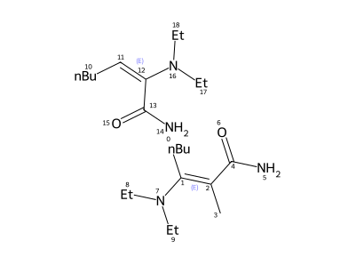 CCCC/C(=C(/C)C(N)=O)N(CC)CC.CCCC/C=C(\C(N)=O)N(CC)CC